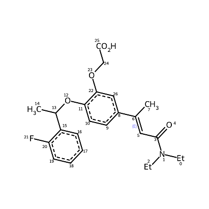 CCN(CC)C(=O)/C=C(\C)c1ccc(OC(C)c2ccccc2F)c(OCC(=O)O)c1